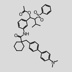 CC(=O)OC(c1cccc(NC(=O)C2(Cc3ccc(-c4ccc(N(C)C)cc4)cc3)CCCCC2)c1)C(C(C)C)S(=O)(=O)c1ccccc1